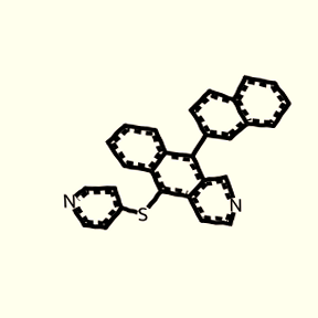 c1ccc2cc(-c3c4ccccc4c(Sc4ccncc4)c4ccncc34)ccc2c1